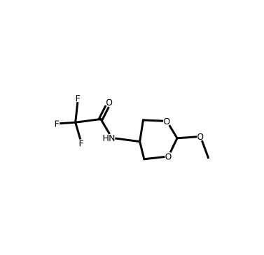 COC1OCC(NC(=O)C(F)(F)F)CO1